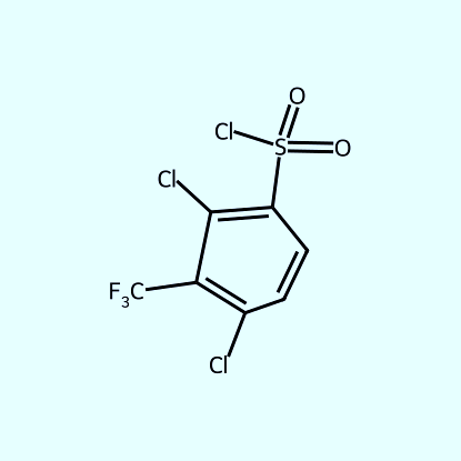 O=S(=O)(Cl)c1ccc(Cl)c(C(F)(F)F)c1Cl